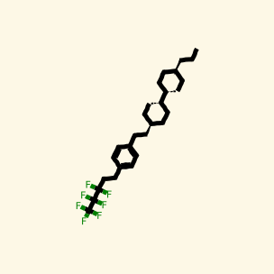 CCC[C@H]1CC[C@H]([C@H]2CC[C@H](CCc3ccc(CCC(F)(F)C(F)(F)C(F)(F)F)cc3)CC2)CC1